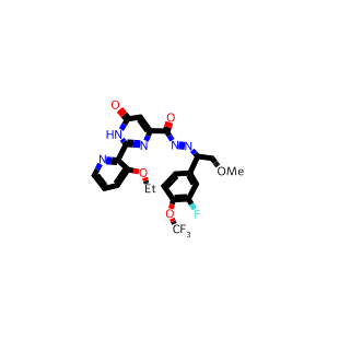 CCOc1cccnc1-c1nc(C(=O)N=NC(COC)c2ccc(OC(F)(F)F)c(F)c2)cc(=O)[nH]1